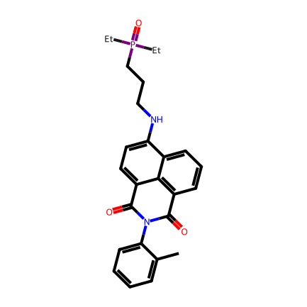 CCP(=O)(CC)CCCNc1ccc2c3c(cccc13)C(=O)N(c1ccccc1C)C2=O